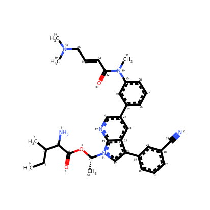 CCC(C)C(N)C(=O)O[C@@H](C)n1cc(-c2cccc(C#N)c2)c2cc(-c3cccc(N(C)C(=O)/C=C/CN(C)C)c3)cnc21